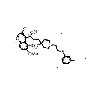 COc1ccc2ncc(Cl)c([C@@H](O)CCC3(C(=O)O)CCN(CCSc4cccc(C)c4)CC3)c2c1